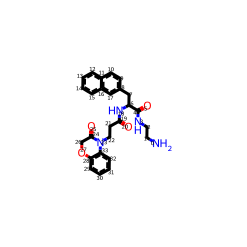 NCCNC(=O)C(Cc1ccc2ccccc2c1)NC(=O)CCN1C(=O)COc2ccccc21